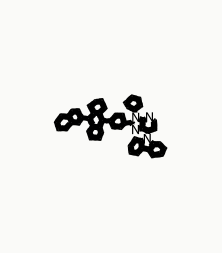 c1ccc(-n2c(-c3ccc(-c4c5ccccc5c(-c5ccc6ccccc6c5)c5ccccc45)cc3)nc3c(-n4c5ccccc5c5ccccc54)ccnc32)cc1